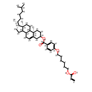 C=CC(=O)OCCCCCCOc1ccc(C(=O)OC2CC[C@@]3(C)C(=CCC4C3CC[C@@]3(C)C4CC[C@@H]3[C@H](C)CCCC(C)C)C2)cc1